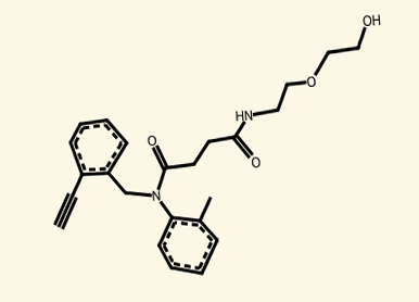 C#Cc1ccccc1CN(C(=O)CCC(=O)NCCOCCO)c1ccccc1C